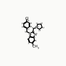 Cc1ccc2c(c1)nc(CN1CCCC1)n2Cc1ccc(Cl)cc1